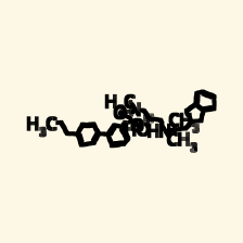 CCCc1ccc(-c2cccc(S(=O)(=O)N(C)C[C@H](O)CNC(C)(C)CC3Cc4ccccc4C3)c2)cc1